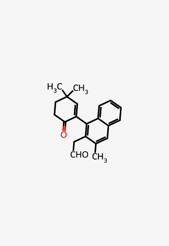 Cc1cc2ccccc2c(C2=CC(C)(C)CCC2=O)c1CC=O